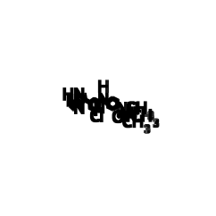 CC(C(=O)N[C@H]1CC[C@H](Nc2cc(-c3c[nH]c4nccnc34)cc(Cl)n2)CC1)N(C)C